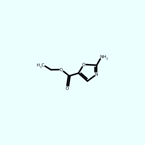 CCOC(=O)c1cnc(N)o1